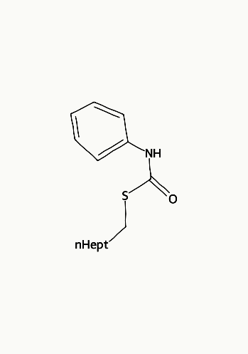 CCCCCCCCSC(=O)Nc1ccccc1